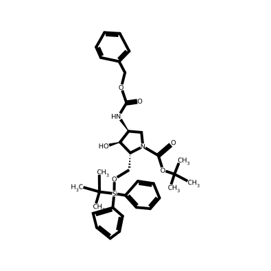 CC(C)(C)OC(=O)N1C[C@H](NC(=O)OCc2ccccc2)[C@H](O)[C@H]1CO[Si](c1ccccc1)(c1ccccc1)C(C)(C)C